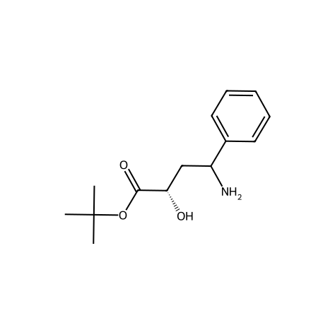 CC(C)(C)OC(=O)[C@@H](O)CC(N)c1ccccc1